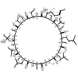 C/C=C/C[C@@H](C)[C@@H](O)C1C(=O)N[C@H](CC)C(=O)N(C)[C@H](CO)C(=O)N(C)[C@@H](CC(C)(C)O)C(=O)N[C@H](C(C)C)C(=O)N(C)[C@H](CC(C)C)C(=O)N[C@H](C)C(=O)N[C@@H](C)C(=O)N(C)[C@@H](CC(C)C)C(=O)N(C)[C@H](CCC(C)C)C(=O)N(C)[C@H](C(C)C)C(=O)N1C